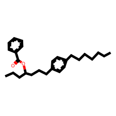 CCCCCCCc1ccc(CCCC(CCC)OC(=O)c2ccccc2)cc1